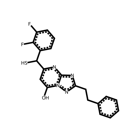 Oc1cc(C(S)c2cccc(F)c2F)nc2nc(CCc3ccccc3)nn12